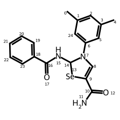 Cc1cc(C)cc(N2C=C(C(N)=O)[Se]C2NC(=O)c2ccccc2)c1